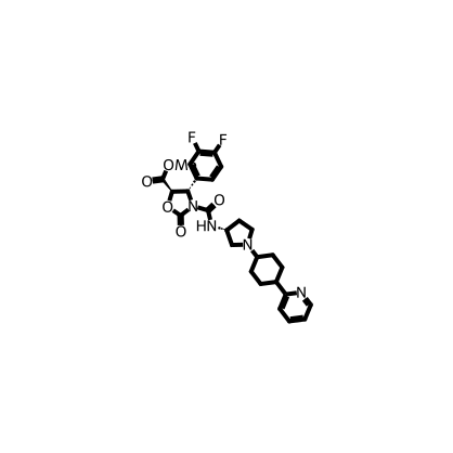 COC(=O)[C@@H]1OC(=O)N(C(=O)N[C@@H]2CCN(C3CCC(c4ccccn4)CC3)C2)[C@H]1c1ccc(F)c(F)c1